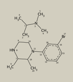 CC(C)N(C)C.CC1NCCN(c2cccc(Br)c2)C1C